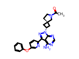 CC(=O)N1CC[C@]2(C1)C[C@@H](n1nc(-c3ccc(Oc4ccccc4)cn3)c3c(N)ncnc31)C2